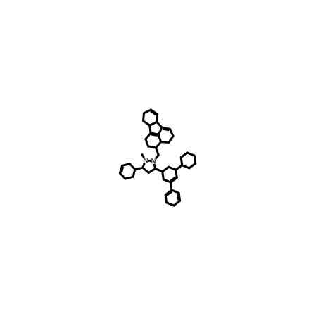 CN1C(C2CC=CCC2)CC(C2CC(C3=CCCC=C3)=CC(C3CCCCC3)C2)N1CC1CCC2=C3C(=CCCC31)C1C=CCCC21